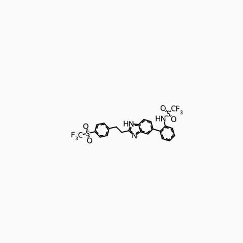 O=S(=O)(Nc1ccccc1-c1ccc2[nH]c(CCc3ccc(S(=O)(=O)C(F)(F)F)cc3)nc2c1)C(F)(F)F